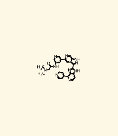 CN(C)CC(=O)Nc1cncc(-c2cc3c(-c4nc5c(-c6ccncc6)nccc5[nH]4)n[nH]c3cn2)c1